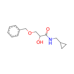 O=C(NCC1CC1)C(O)COCc1ccccc1